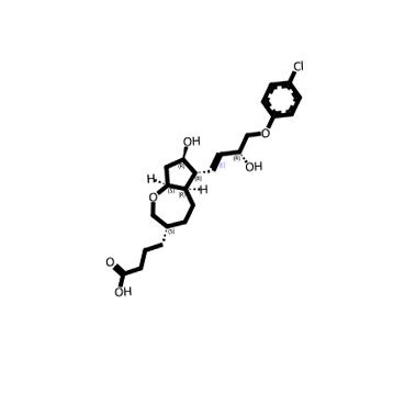 O=C(O)CCC[C@H]1CC[C@@H]2[C@@H](/C=C/[C@@H](O)COc3ccc(Cl)cc3)[C@H](O)C[C@@H]2OC1